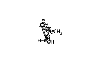 CCOC(=O)C1=CC2(CCC1S(=O)(=O)C1CCc3c(Cl)cccc31)O[C@H](CO)[C@@H](CO)O2